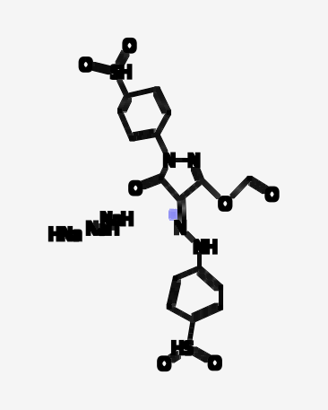 O=COC1=NN(c2ccc([SH](=O)=O)cc2)C(=O)/C1=N/Nc1ccc([SH](=O)=O)cc1.[NaH].[NaH].[NaH]